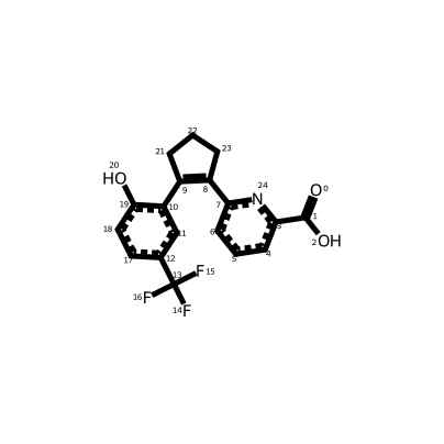 O=C(O)c1cccc(C2=C(c3cc(C(F)(F)F)ccc3O)CCC2)n1